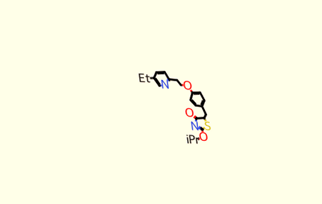 CCc1ccc(CCOc2ccc(CC3SC(OC(C)C)=NC3=O)cc2)nc1